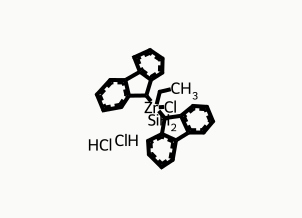 C[CH2][Zr](=[SiH2])([Cl])([CH]1c2ccccc2-c2ccccc21)[CH]1c2ccccc2-c2ccccc21.Cl.Cl